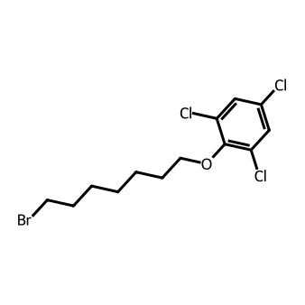 Clc1cc(Cl)c(OCCCCCCCBr)c(Cl)c1